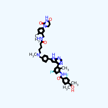 Cc1ccc(N2CCC(=O)NC2=O)cc1CNC(=O)CCCCN(C)Cc1ccc(-c2cc3c(-c4cc(F)cc(NC(=O)c5ccc(C(C)(C)O)cc5F)c4C)ncnc3[nH]2)cc1